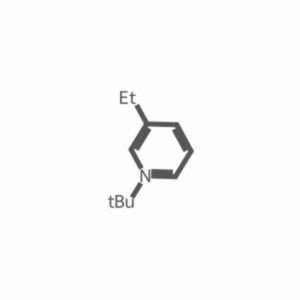 CCc1ccc[n+](C(C)(C)C)c1